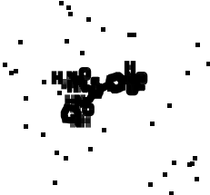 CS(=O)(=O)Nc1ccc(-c2cc(C(=O)N[C@H]3CCCNC3)c(NC(N)=O)s2)cc1